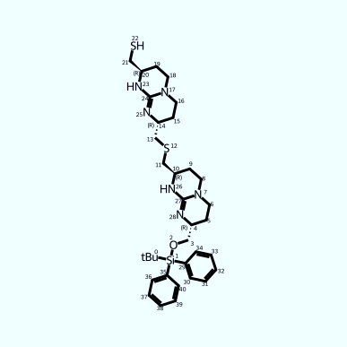 CC(C)(C)[Si](OC[C@H]1CCN2CC[C@H](CSC[C@H]3CCN4CC[C@H](CS)NC4=N3)NC2=N1)(c1ccccc1)c1ccccc1